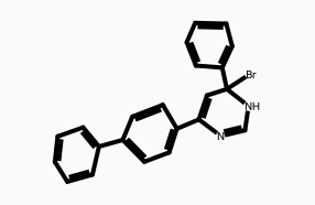 BrC1(c2ccccc2)C=C(c2ccc(-c3ccccc3)cc2)N=CN1